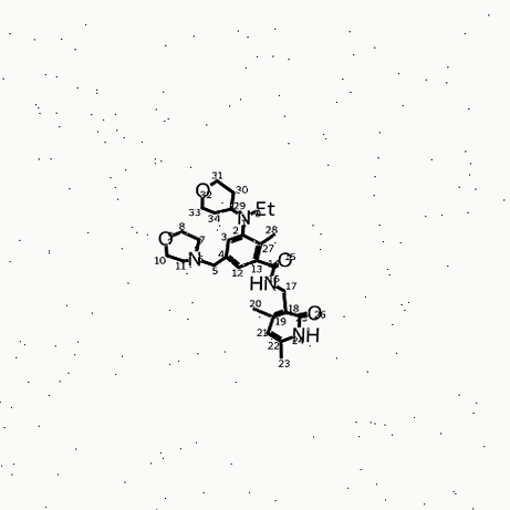 CCN(c1cc(CN2CCOCC2)cc(C(=O)NCc2c(C)cc(C)[nH]c2=O)c1C)C1CCOCC1